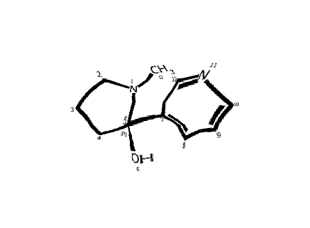 CN1CCC[C@@]1(O)c1cccnc1